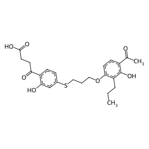 CCCc1c(OCCCSc2ccc(C(=O)CCC(=O)O)c(O)c2)ccc(C(C)=O)c1O